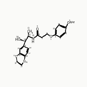 COc1ccc(OCCC(=O)N[C@H](C)[C@H](O)c2ccc3c(c2)OCCO3)cc1